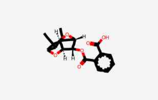 CC1C2CC(C)[C@@H]3O[C@H]1[C@H](O2)[C@H]3OC(=O)c1ccccc1C(=O)O